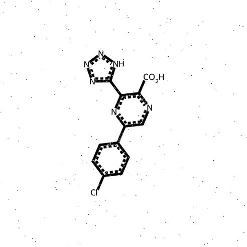 O=C(O)c1ncc(-c2ccc(Cl)cc2)nc1-c1nnn[nH]1